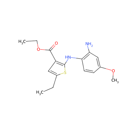 CCOC(=O)c1cc(CC)sc1Nc1ccc(OC)cc1N